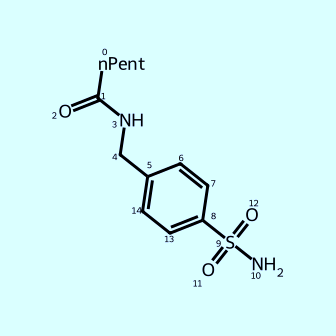 CCCCCC(=O)NCc1ccc(S(N)(=O)=O)cc1